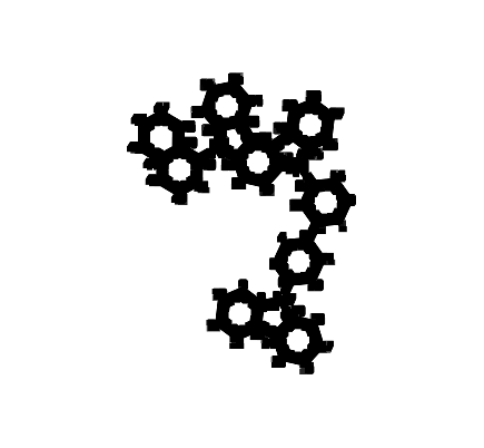 c1cc(-c2ccc(-n3c4ccccc4c4ccccc43)cc2)cc(-n2c3ccccc3c3c4c5ccccc5n(-c5cccc6ccccc56)c4ccc32)c1